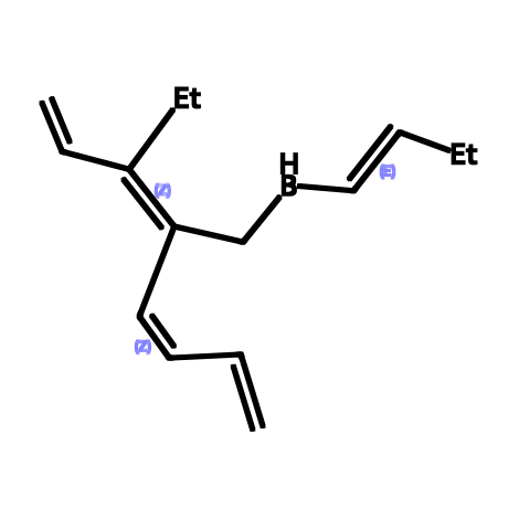 C=C/C=C\C(CB/C=C/CC)=C(/C=C)CC